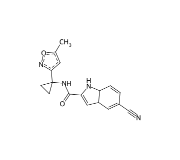 Cc1cc(C2(NC(=O)C3=CC4C=C(C#N)C=CC4N3)CC2)no1